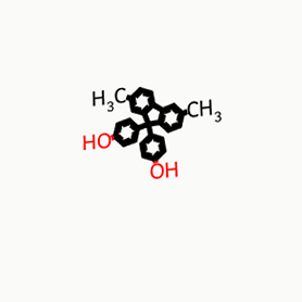 Cc1ccc2c(c1)-c1ccc(C)cc1C2(c1ccc(O)cc1)c1ccc(O)cc1